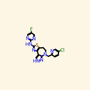 Fc1cnc(Nc2nc3c(s2)CCN(Cc2ccc(Cl)cn2)c2n[nH]cc2-3)nc1